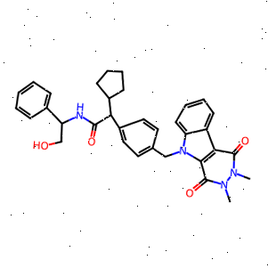 Cn1c(=O)c2c3ccccc3n(Cc3ccc(C(C(=O)NC(CO)c4ccccc4)C4CCCC4)cc3)c2c(=O)n1C